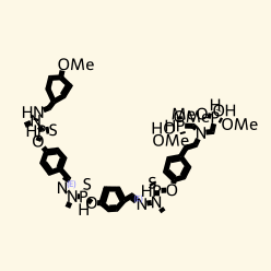 COC1C=CC(CNN(C)[PH](=S)Oc2ccc(/C=N/N(C)[PH](=S)Oc3ccc(/C=N/N(C)[PH](=S)Oc4ccc(CCN(C[PH](O)(OC)OC)C[PH](O)(OC)OC)cc4)cc3)cc2)CC1